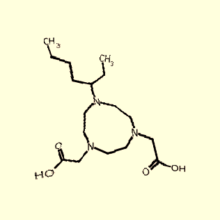 CCCCC(CC)N1CCN(CC(=O)O)CCN(CC(=O)O)CC1